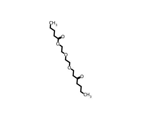 CCCCC(=O)CCOCCOCCOC(=O)CCCC